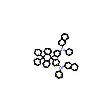 c1ccc(N(c2ccc(C3(c4ccc(N(c5ccccc5)c5ccc6ccccc6c5)cc4)c4ccccc4C(c4ccccc4)(c4ccccc4)c4ccccc43)cc2)c2ccc3ccccc3c2)cc1